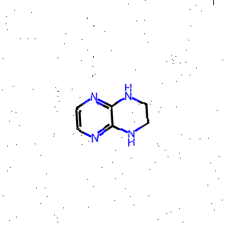 c1cnc2c(n1)NCCN2